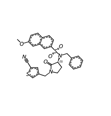 COc1ccc2ccc(S(=O)(=O)N(Cc3ccccc3)[C@H]3CCN(Cc4csc(C#N)c4)C3=O)cc2c1